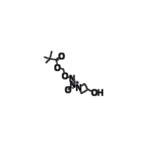 CC(C)(C)C(=O)OCO/N=[N+](\[O-])N1CC(O)C1